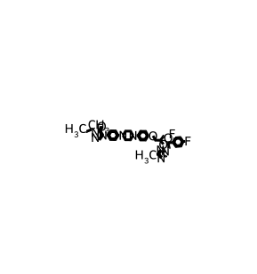 CCC(C)n1ncn(-c2ccc(N3CCN(c4ccc(OCC5COC(Cn6cnc(C)n6)(c6ccc(F)cc6F)O5)cc4)CC3)cc2)c1=O